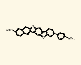 CCCCCCCCc1ccc(-c2ccc3c(c2)oc2cc4c(cc23)oc2cc3cc(CCCCCCCC)ccc3cc24)cc1